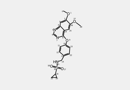 COc1cc2ncnc(Oc3ccc(CNS(=O)(=O)C4CC4)cc3)c2cc1OC